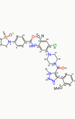 C=S1(=O)CCCN1c1ccc(C(=O)Nc2cc(N3CCN(C(=O)c4c(-c5ccccc5OC)nnn4C)CC3)c(Cl)cc2[N+](=O)[O-])cc1